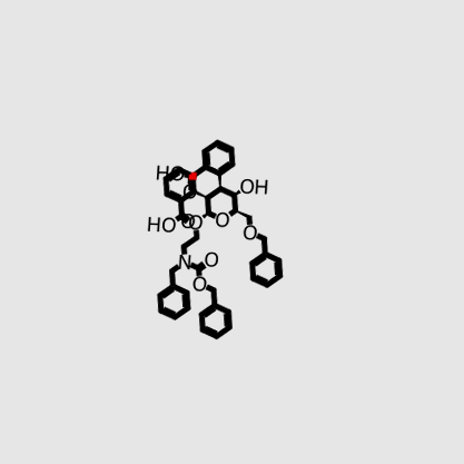 O=C(O)c1ccccc1[C@@H]1[C@H](OCCN(Cc2ccccc2)C(=O)OCc2ccccc2)O[C@H](COCc2ccccc2)[C@H](O)[C@@H]1c1ccccc1C(=O)O